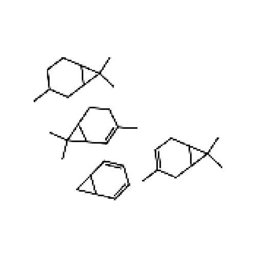 C1=CC2CC2C=C1.CC1=CC2C(CC1)C2(C)C.CC1=CCC2C(C1)C2(C)C.CC1CCC2C(C1)C2(C)C